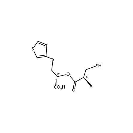 C[C@H](CS)C(=O)O[C@@H](CSc1ccsc1)C(=O)O